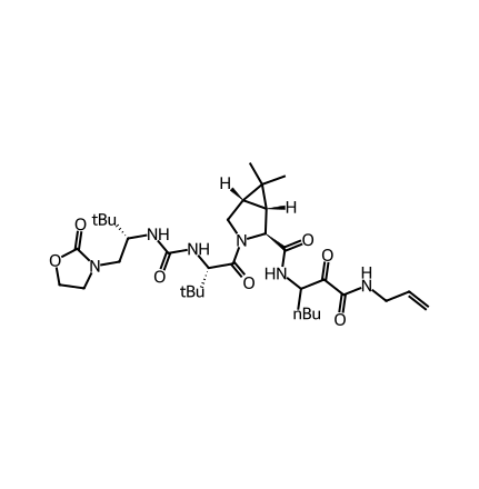 C=CCNC(=O)C(=O)C(CCCC)NC(=O)[C@@H]1[C@@H]2[C@H](CN1C(=O)[C@@H](NC(=O)N[C@H](CN1CCOC1=O)C(C)(C)C)C(C)(C)C)C2(C)C